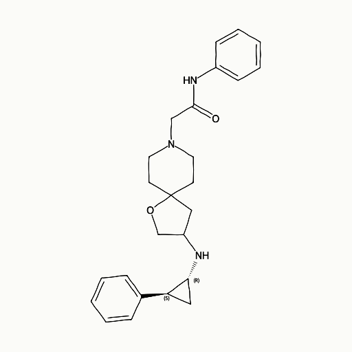 O=C(CN1CCC2(CC1)CC(N[C@@H]1C[C@H]1c1ccccc1)CO2)Nc1ccccc1